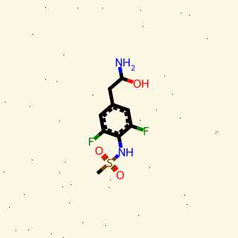 CS(=O)(=O)Nc1c(F)cc(CC(N)O)cc1F